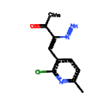 COC(=O)C(=Cc1ccc(C)nc1Cl)N=N